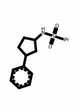 CC(C)S(=O)(=O)NC1CCC(c2ccccc2)C1